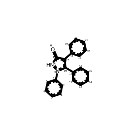 O=c1[nH]n(-c2ccccc2)c(-c2ccccc2)c1-c1ccccc1